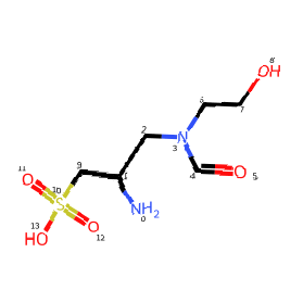 NC(CN(C=O)CCO)CS(=O)(=O)O